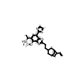 C=CC1CC2CC(CCc3nc4c(OC(F)(F)F)c(C(C)O)cc(-c5nccs5)c4o3)CC1C2